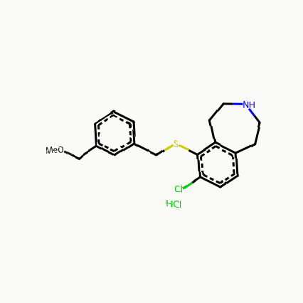 COCc1cccc(CSc2c(Cl)ccc3c2CCNCC3)c1.Cl